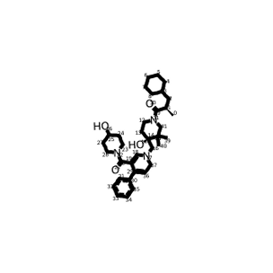 C[C@H](CC1CCCCC1)C(=O)N1CC[C@@](O)(CN2C=C(C(=O)N3CCC(O)CC3)C(c3ccccc3)=CC2)C(C)(C)C1